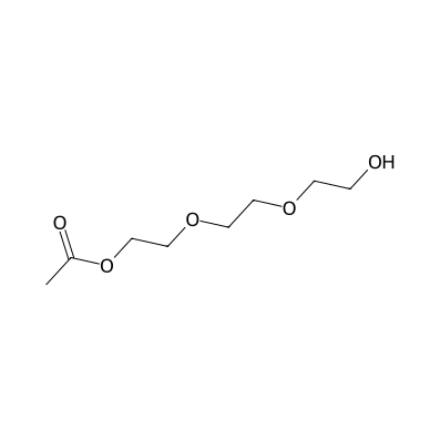 CC(=O)OCCOCCOCCO